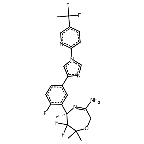 CC1(C)OCC(N)=N[C@](C)(c2cc(-c3cn(-c4ccc(C(F)(F)F)cn4)cn3)ccc2F)C1(F)F